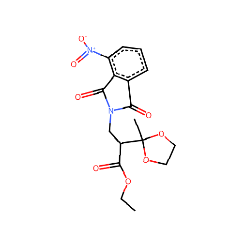 CCOC(=O)C(CN1C(=O)c2cccc([N+](=O)[O-])c2C1=O)C1(C)OCCO1